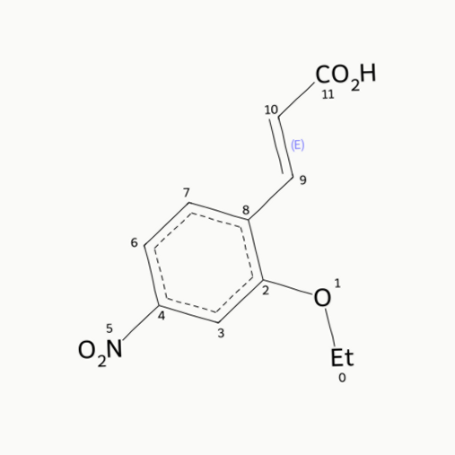 CCOc1cc([N+](=O)[O-])ccc1/C=C/C(=O)O